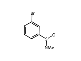 CN[S+]([O-])c1cccc(Br)c1